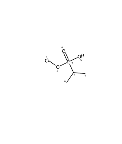 CC(C)P(=O)(O)OCl